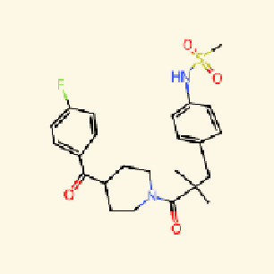 CC(C)(Cc1ccc(NS(C)(=O)=O)cc1)C(=O)N1CCC(C(=O)c2ccc(F)cc2)CC1